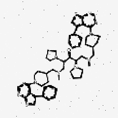 CN(CC1CCN(c2ncnc3scc(-c4ccccc4)c23)CC1)CC(C(=O)C(CN(C)CC1CCN(c2ncnc3scc(-c4ccccc4)c23)CC1)N1CCCC1)N1CCCC1